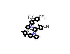 Cc1ccc(-c2ccc3c4ccccc4n(-c4cc(-c5ccc(C#N)cc5C)cc(-n5c6ccccc6c6ccc(-c7ccc(C(F)(F)F)cc7C(F)(F)F)cc65)c4C#N)c3c2)c(C)c1